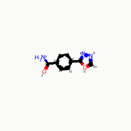 NC(=O)c1ccc(-c2nn[c]o2)cc1